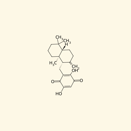 C=C1CC[C@H]2C(C)(C)CCC[C@]2(C)[C@H]1CC1=C(O)C(=O)C=C(O)C1=O